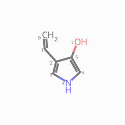 C=Cc1c[nH]cc1O